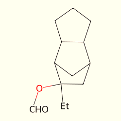 CCC1(OC=O)CC2CC1C1CCCC21